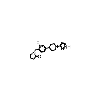 O=C1CCCN1Cc1ccc(C2CCN(c3cc[nH]n3)CC2)cc1F